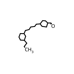 CCCC1CCCC(CCCCCC2CCC(C=O)CC2)C1